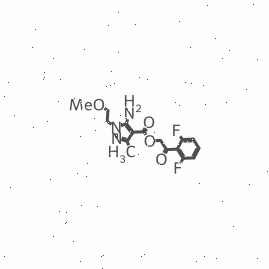 COCCn1nc(C)c(C(=O)OCC(=O)c2c(F)cccc2F)c1N